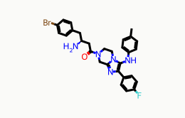 Cc1ccc(Nc2c(-c3ccc(F)cc3)nc3n2CCN(C(=O)C[C@@H](N)Cc2ccc(Br)cc2)C3)cc1